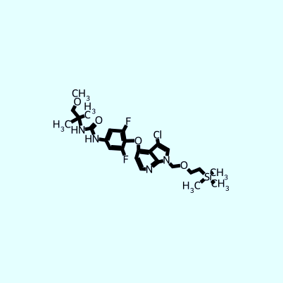 COCC(C)(C)NC(=O)Nc1cc(F)c(Oc2ccnc3c2c(Cl)cn3COCC[Si](C)(C)C)c(F)c1